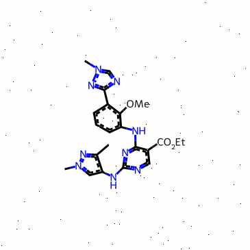 CCOC(=O)c1cnc(Nc2cn(C)nc2C)nc1Nc1cccc(-c2ncn(C)n2)c1OC